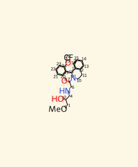 COC[C@@H](O)CNCC(=O)N1CCc2ccccc2C1c1ccccc1OC(F)(F)F